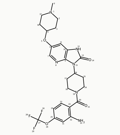 CN1CCC(Oc2cnc3c(c2)[nH]c(=O)n3C2CCN(C(=O)c3ccc(OC(F)(F)F)cc3N)CC2)CC1